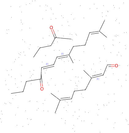 CC(C)=CCC/C(C)=C/C=O.CCCC(=O)/C=C/C=C(\C)CCC=C(C)C.CCCC(C)=O